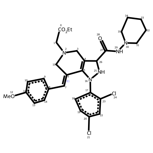 CCOC(=O)CN1CC2=C(/C(=C/c3ccc(OC)cc3)C1)N(c1ccc(Cl)cc1Cl)NC2C(=O)NN1CCCCC1